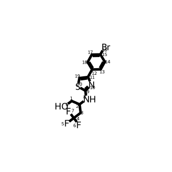 OCC(CC(F)(F)F)Nc1nc(-c2ccc(Br)cc2)cs1